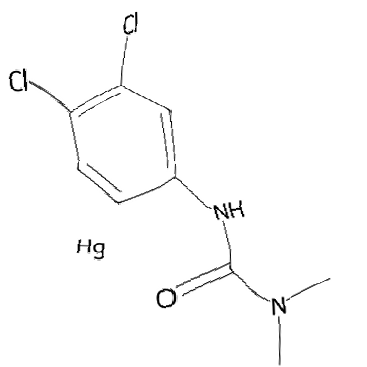 CN(C)C(=O)Nc1ccc(Cl)c(Cl)c1.[Hg]